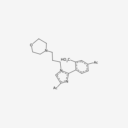 CC(=O)c1ccc(-c2nc(C(C)=O)cn2CCCN2CCOCC2)c(C(=O)O)c1